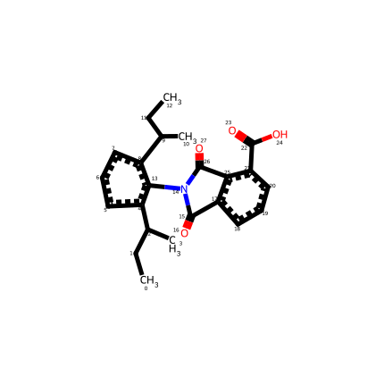 CCC(C)c1cccc(C(C)CC)c1N1C(=O)c2cccc(C(=O)O)c2C1=O